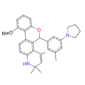 COc1cccc2c1-c1ccc3c(c1C(c1cc(C)cc(N4CCCC4)c1)O2)C(C)=CC(C)(C)N3